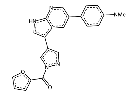 CNc1ccc(-c2cnc3[nH]cc(-c4cnn(C(=O)c5ccco5)c4)c3c2)cc1